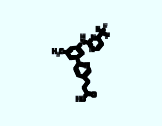 Cc1cc(Nc2nccc(C(F)(F)F)n2)cc(-c2ccc(CCC(=O)O)cn2)c1